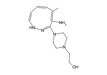 Cc1cccc[nH]nc(N2CCN(CCO)CC2)c1N